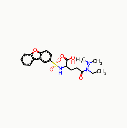 CCN(C(=O)CCC(NS(=O)(=O)c1ccc2oc3ccccc3c2c1)C(=O)O)N(C)C